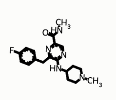 CNC(=O)c1cnc(NC2CCN(C)CC2)c(Cc2ccc(F)cc2)n1